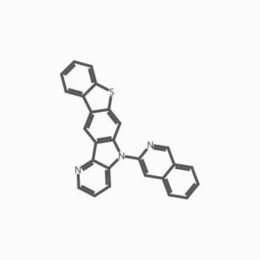 c1ccc2cc(-n3c4cc5sc6ccccc6c5cc4c4ncccc43)ncc2c1